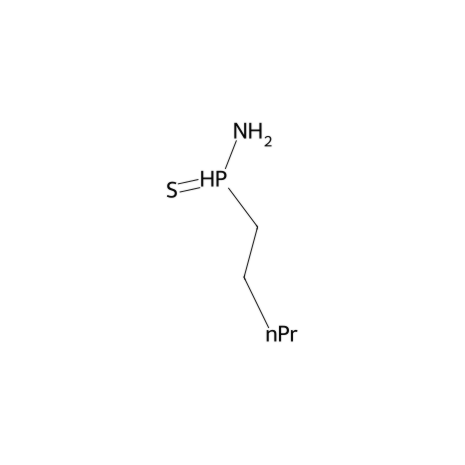 CCCCC[PH](N)=S